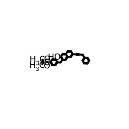 CN(C)S(=O)(=O)c1ccc(Cc2cc3cc(C#CCc4ccccc4)ccc3cc2O)cc1